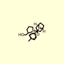 Cc1ccc([C@H]2C[C@H]3CC[C@@H](C2)N3C(=O)N2CCCC(CO)C2)cc1